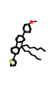 CCCCCCC1(CCCCCC)c2cc(-c3ccc(OC)cc3)ccc2-c2ccc(-c3cccs3)cc21